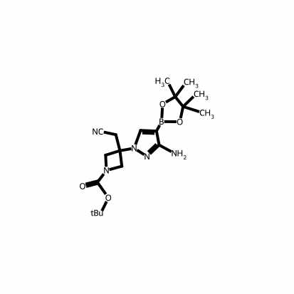 CC(C)(C)OC(=O)N1CC(CC#N)(n2cc(B3OC(C)(C)C(C)(C)O3)c(N)n2)C1